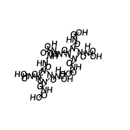 O=C(O)CNC(=O)CN1CCN(CC(=O)NCCNc2c(NCCNC(=O)CN3CCN(CC(=O)NCC(=O)O)CCN(CC(=O)NCC(=O)O)CCN(CC(=O)NCC(=O)O)CC3)c(=O)c2=O)CCN(CC(=O)NCC(=O)O)CCN(CC(=O)NCC(=O)O)CC1